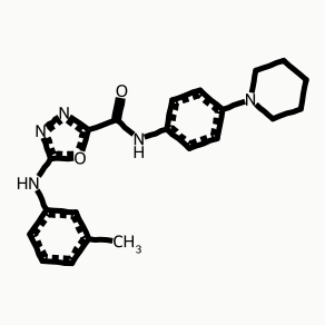 Cc1cccc(Nc2nnc(C(=O)Nc3ccc(N4CCCCC4)cc3)o2)c1